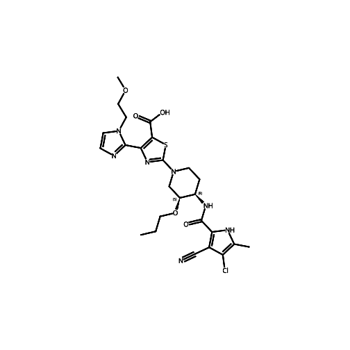 CCCO[C@H]1CN(c2nc(-c3nccn3CCOC)c(C(=O)O)s2)CC[C@H]1NC(=O)c1[nH]c(C)c(Cl)c1C#N